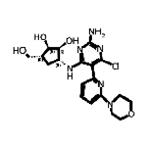 Nc1nc(Cl)c(-c2cccc(N3CCOCC3)n2)c(N[C@@H]2C[C@H](CO)[C@@H](O)[C@H]2O)n1